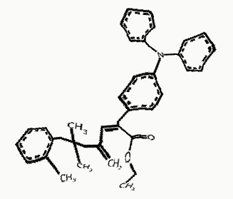 C=C(/C=C(\C(=O)OCC)c1ccc(N(c2ccccc2)c2ccccc2)cc1)C(C)(C)c1ccccc1C